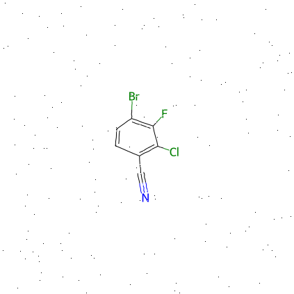 N#Cc1ccc(Br)c(F)c1Cl